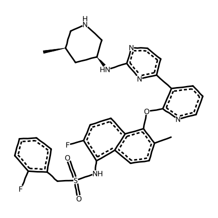 Cc1ccc2c(NS(=O)(=O)Cc3ccccc3F)c(F)ccc2c1Oc1ncccc1-c1ccnc(N[C@@H]2CNC[C@H](C)C2)n1